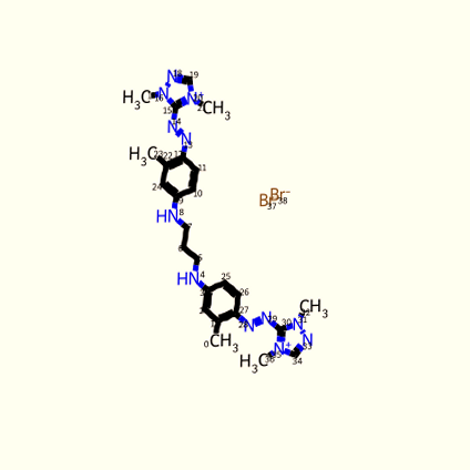 Cc1cc(NCCCNc2ccc(/N=N/c3n(C)nc[n+]3C)c(C)c2)ccc1/N=N/c1n(C)nc[n+]1C.[Br-].[Br-]